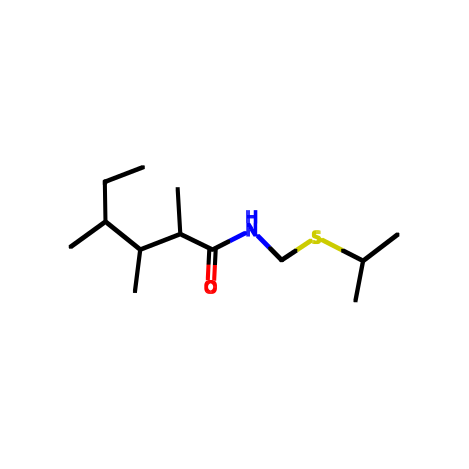 CCC(C)C(C)C(C)C(=O)NCSC(C)C